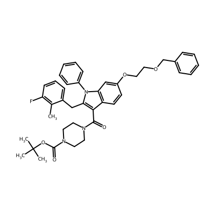 Cc1c(F)cccc1Cc1c(C(=O)N2CCN(C(=O)OC(C)(C)C)CC2)c2ccc(OCCOCc3ccccc3)cc2n1-c1ccccc1